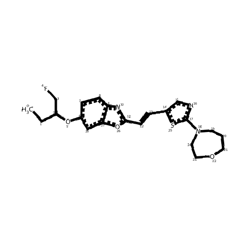 CCC(CF)Oc1ccc2nc(/C=C/c3cnc(N4CCCOCC4)s3)oc2c1